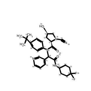 CC(C)(C)c1ccc(N(C(=O)[C@H]2C[C@@H](O)CN2C#N)C(C(=O)NC2CCC(F)(F)CC2)c2cccnc2)cc1